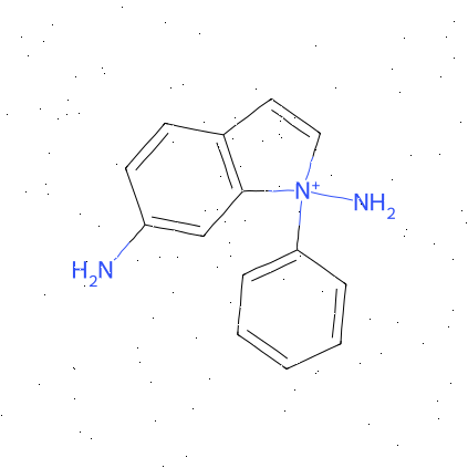 Nc1ccc2c(c1)[N+](N)(c1ccccc1)C=C2